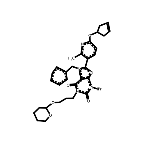 Cc1nc(OC2CC=CC2)ccc1-c1nc2c(c(=O)n(CCCOC3CCCCO3)c(=O)n2C(C)C)n1Cc1ccccc1